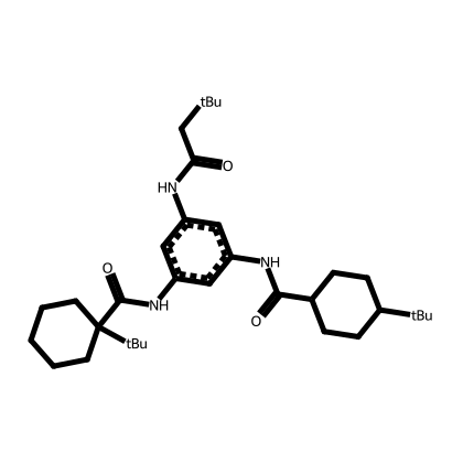 CC(C)(C)CC(=O)Nc1cc(NC(=O)C2CCC(C(C)(C)C)CC2)cc(NC(=O)C2(C(C)(C)C)CCCCC2)c1